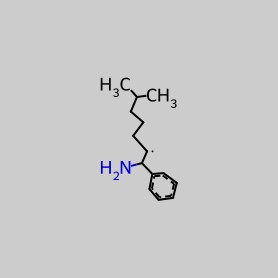 CC(C)CCC[CH]C(N)c1ccccc1